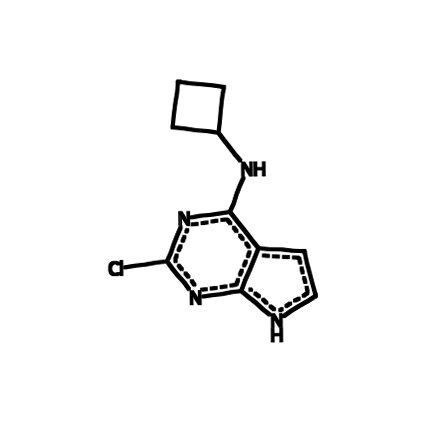 Clc1nc(NC2CCC2)c2cc[nH]c2n1